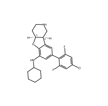 Fc1cc(Cl)cc(F)c1-c1cc(NC2CCCCC2)c2c(c1)[C@@H]1CNCC[C@@H]1O2